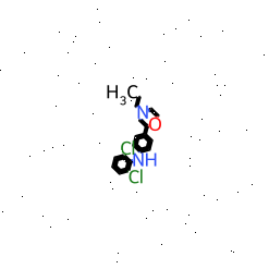 CCCN1CCOC(c2ccc(Nc3c(Cl)cccc3Cl)cc2)C1